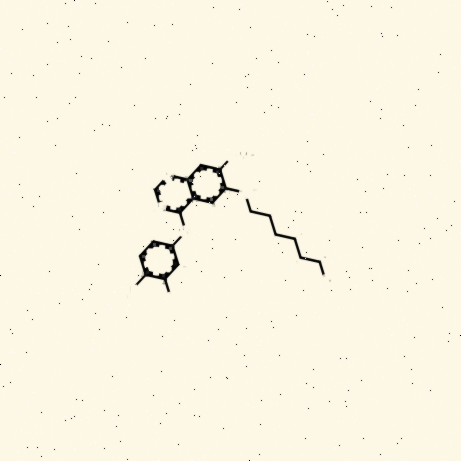 COc1cc2ncnc(Nc3ccc(F)c(Cl)c3)c2cc1OCCCCCCO